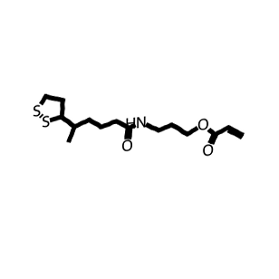 C=CC(=O)OCCCNC(=O)CCCC(C)C1CCSS1